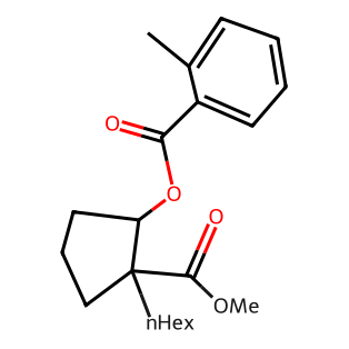 CCCCCCC1(C(=O)OC)CCCC1OC(=O)c1ccccc1C